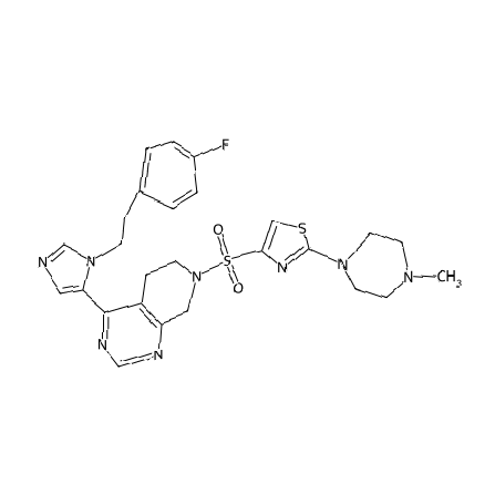 CN1CCN(c2nc(S(=O)(=O)N3CCc4c(ncnc4-c4cncn4CCc4ccc(F)cc4)C3)cs2)CC1